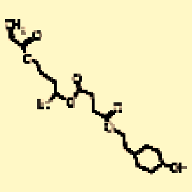 C=CC(=O)OCCCC(CC)OC(=O)CCC(=O)OCCC1CCC(O)CC1